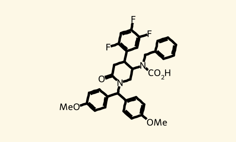 COc1ccc(C(c2ccc(OC)cc2)N2CC(N(Cc3ccccc3)C(=O)O)C(c3cc(F)c(F)cc3F)CC2=O)cc1